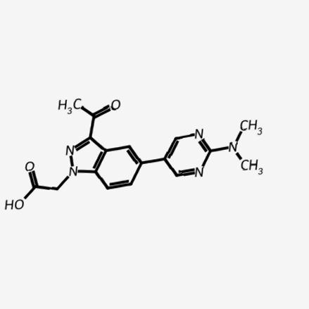 CC(=O)c1nn(CC(=O)O)c2ccc(-c3cnc(N(C)C)nc3)cc12